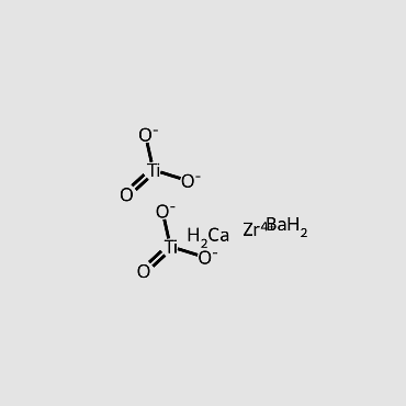 [BaH2].[CaH2].[O]=[Ti]([O-])[O-].[O]=[Ti]([O-])[O-].[Zr+4]